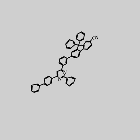 N#Cc1ccc2c(c1)C(c1ccccc1)(c1ccccc1)c1cc(-c3cccc(-c4cc(-c5ccc(-c6ccccc6)cc5)nc(-c5ccccc5)n4)c3)ccc1-2